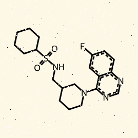 O=S(=O)(NCC1CCCN(c2ncnc3ccc(F)cc23)C1)C1CCCCC1